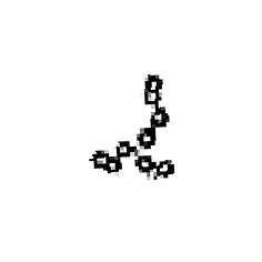 c1cc(-c2ccc(N(c3cccc(-c4cccc5ccccc45)c3)c3ccc4oc5ccccc5c4c3)cc2)cc(-c2ccc3ccccc3c2)c1